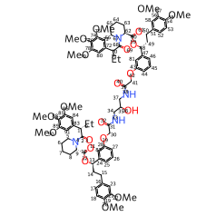 CC[C@H](C(=O)N1CCCC[C@H]1C(=O)O[C@H](CCc1ccc(OC)c(OC)c1)c1cccc(OCC(=O)NCC(O)CNC(=O)COc2cccc([C@@H](CCc3ccc(OC)c(OC)c3)OC(=O)[C@@H]3CCCCN3C(=O)[C@@H](CC)c3cc(OC)c(OC)c(OC)c3)c2)c1)c1cc(OC)c(OC)c(OC)c1